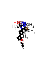 CCCCOc1cccc(-c2ccc(C3=N[C@@H](C(C)C(=O)O)c4nnc(C)n4-c4sc(C)c(C)c43)cc2)c1